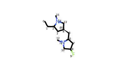 CCC1C[C@H](CC2CC(F)CN2C)CN1C